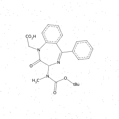 CN(C(=O)OC(C)(C)C)C1N=C(c2ccccc2)c2ccccc2N(CC(=O)O)C1=O